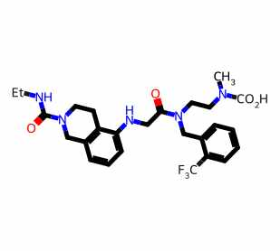 CCNC(=O)N1CCc2c(cccc2NCC(=O)N(CCN(C)C(=O)O)Cc2ccccc2C(F)(F)F)C1